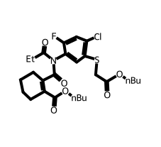 CCCCOC(=O)CSc1cc(N(C(=O)CC)C(=O)C2=C(C(=O)OCCCC)CCCC2)c(F)cc1Cl